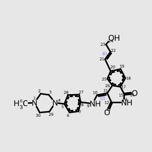 CN1CCN(c2ccc(N/C=C3\C(=O)NC(=O)c4ccc(/C=C/CO)cc43)cc2)CC1